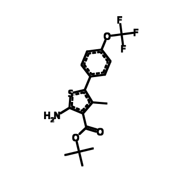 Cc1c(-c2ccc(OC(F)(F)F)cc2)sc(N)c1C(=O)OC(C)(C)C